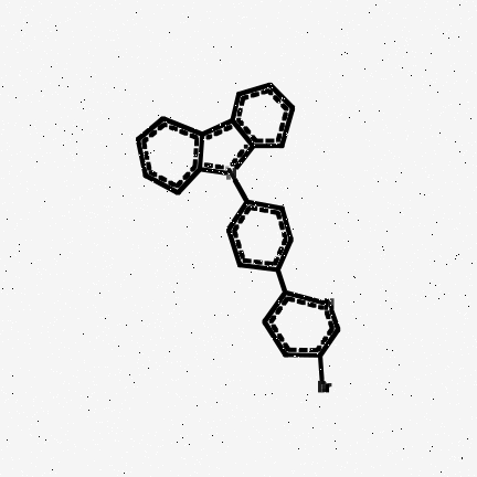 Brc1ccc(-c2ccc(-n3c4ccccc4c4ccccc43)cc2)nc1